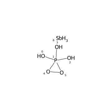 OP1(O)(O)OO1.[SbH3]